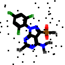 CCCCN(CC)c1nc(C)nc2c1c(S(C)(=O)=O)nn2-c1c(Cl)cc(Cl)cc1Cl